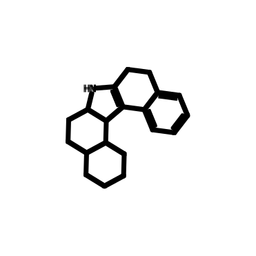 c1ccc2c(c1)CCC1=C2C2C(CCC3CCCCC32)N1